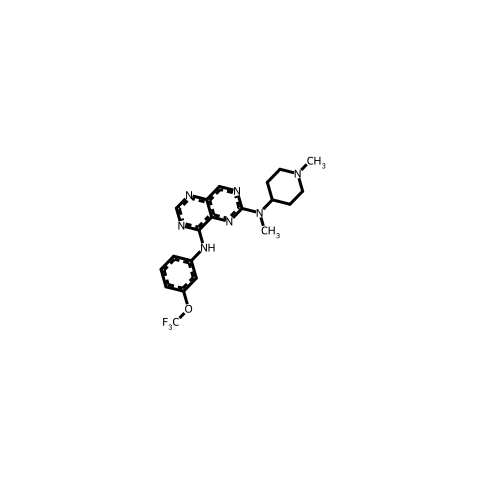 CN1CCC(N(C)c2ncc3ncnc(Nc4cccc(OC(F)(F)F)c4)c3n2)CC1